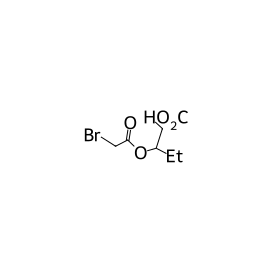 CCC(CC(=O)O)OC(=O)CBr